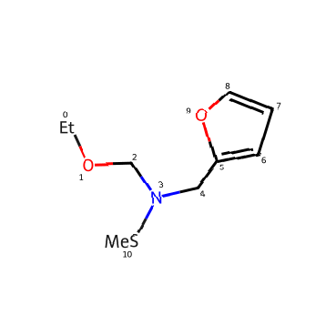 CCOCN(Cc1ccco1)SC